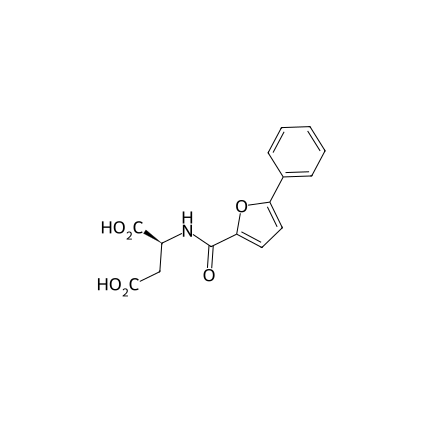 O=C(O)C[C@H](NC(=O)c1ccc(-c2ccccc2)o1)C(=O)O